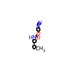 Cc1cccc(-c2ccc(NC(=O)COc3ccc(-n4ccnc4)cc3)cc2)c1